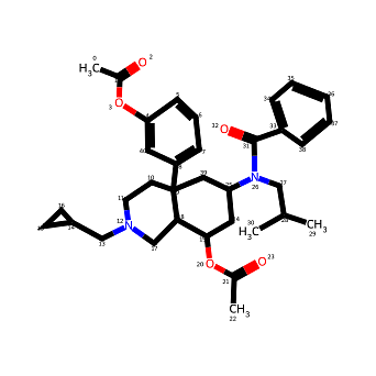 CC(=O)Oc1cccc(C23CCN(CC4CC4)CC2C(OC(C)=O)CC(N(CC(C)C)C(=O)c2ccccc2)C3)c1